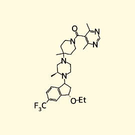 CCO[C@H]1CC(N2CCN(C3(C)CCN(C(=O)c4c(C)ncnc4C)CC3)C[C@@H]2C)c2ccc(C(F)(F)F)cc21